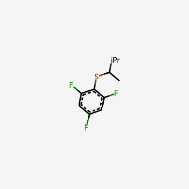 CC(C)C(C)Sc1c(F)cc(F)cc1F